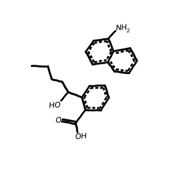 CCCCC(O)c1ccccc1C(=O)O.Nc1cccc2ccccc12